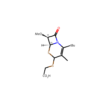 CO[C@H]1C(=O)N2C(C(C)(C)C)=C(C)C(SCC(=O)O)S[C@@H]12